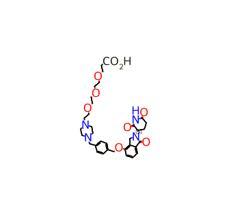 O=C(O)CCOCCOCCOCCN1CCN(Cc2ccc(COc3cccc4c3CN([C@H]3CCC(=O)NC3=O)C4=O)cc2)CC1